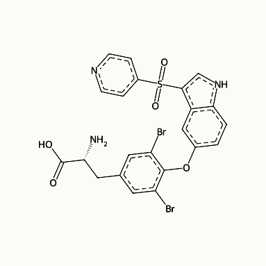 N[C@H](Cc1cc(Br)c(Oc2ccc3[nH]cc(S(=O)(=O)c4ccncc4)c3c2)c(Br)c1)C(=O)O